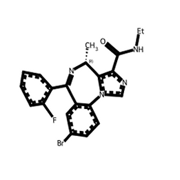 CCNC(=O)c1ncn2c1[C@@H](C)N=C(c1ccccc1F)c1cc(Br)ccc1-2